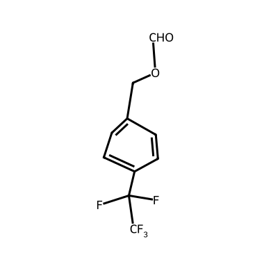 O=COCc1ccc(C(F)(F)C(F)(F)F)cc1